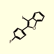 Fc1ccc(-c2oc3ccccc3c2I)cc1